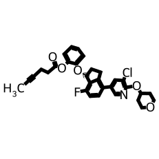 CC#CCCC(=O)Oc1ccccc1O[C@@H]1CCc2c(-c3cnc(OC4CCOCC4)c(Cl)c3)ccc(F)c21